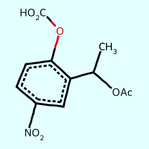 CC(=O)OC(C)c1cc([N+](=O)[O-])ccc1OC(=O)O